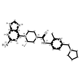 Cc1nc(CN2CCCC2)ccc1NC(=O)N1CCN(c2nc(N)nc3scnc23)[C@@H](C)C1